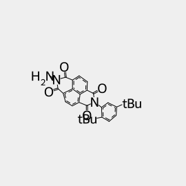 CC(C)(C)c1ccc(C(C)(C)C)c(N2C(=O)c3ccc4c5c(ccc(c35)C2=O)C(=O)N(N)C4=O)c1